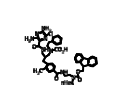 CCCCCCN(CCNC(=O)c1ccc(CC(CNC(=O)c2nc(Cl)c(N)nc2N)CN(CCc2ccccc2)C(=O)O)c(C)c1)C(=O)OCC1c2ccccc2-c2ccccc21